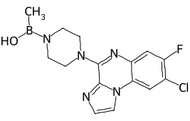 CB(O)N1CCN(c2nc3cc(F)c(Cl)cc3n3ccnc23)CC1